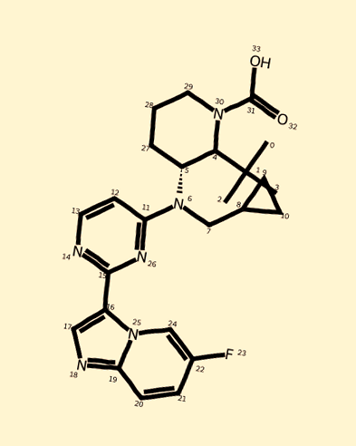 CC(C)(C)C1[C@H](N(CC2CC2)c2ccnc(-c3cnc4ccc(F)cn34)n2)CCCN1C(=O)O